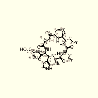 CC[C@H](C)[C@H](N)C(=O)N[C@@H](CC(C)C)C(=O)N[C@@H](CC(C)C)C(=O)N[C@@H](CC(C)C)C(=O)N[C@@H](C)C(=O)N[C@@H](Cc1c[nH]cn1)C(=O)N[C@H](C(=O)O)[C@@H](C)CC